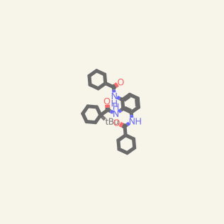 CC(C)(C)C1(C(=O)Nc2c(NC(=O)C3CCCCC3)cccc2NC(=O)C2CCCCC2)CCCCC1